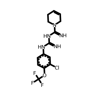 N=C(NC(=N)N1CC=CCC1)Nc1ccc(OC(F)(F)F)c(Cl)c1